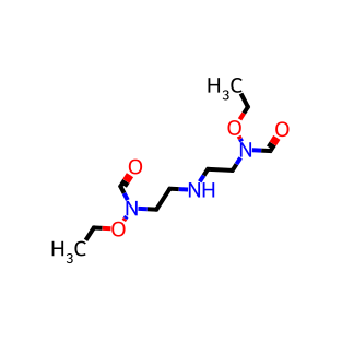 CCON(C=O)CCNCCN(C=O)OCC